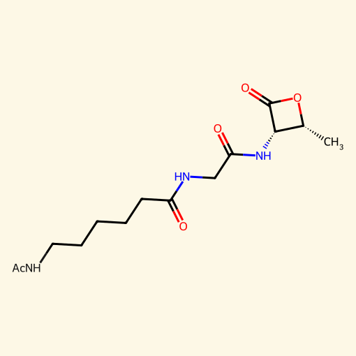 CC(=O)NCCCCCC(=O)NCC(=O)N[C@@H]1C(=O)O[C@@H]1C